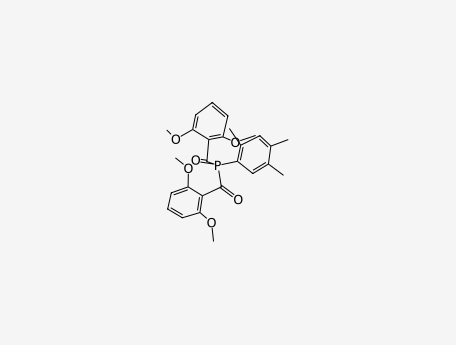 COc1cccc(OC)c1C(=O)P(C(=O)c1c(OC)cccc1OC)c1cc(C)c(C)cc1C